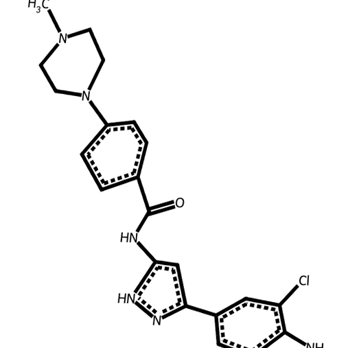 CN1CCN(c2ccc(C(=O)Nc3cc(-c4ccc(N)c(Cl)c4)n[nH]3)cc2)CC1